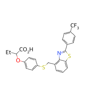 CCC(Oc1ccc(SCc2cccc3sc(-c4ccc(C(F)(F)F)cc4)nc23)cc1)C(=O)O